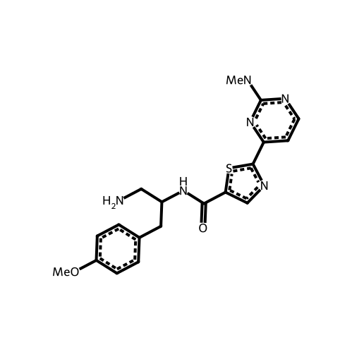 CNc1nccc(-c2ncc(C(=O)NC(CN)Cc3ccc(OC)cc3)s2)n1